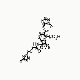 COC1(NC(=O)CSCn2nnc(C)n2)C(=O)N2C(C(=O)O)=C(CSc3nnnn3C)CSC21